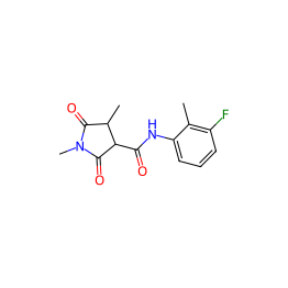 Cc1c(F)cccc1NC(=O)C1C(=O)N(C)C(=O)C1C